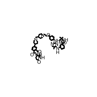 Cc1cnc(Nc2ccc(OCCN3CCC(CN4CCC(c5ccc6c(c5)C(=O)N(C5CCC(=O)NC5=O)C6=O)CC4)CC3)cc2)nc1Nc1cccc(S(=O)(=O)NC(C)(C)C)c1